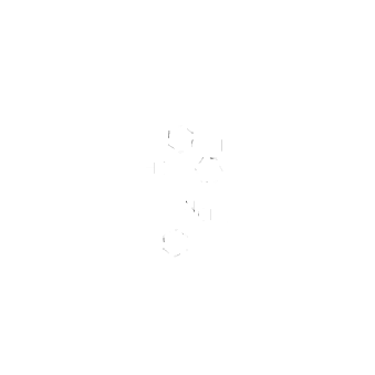 CN(CCC(O)(c1cccc(F)c1)c1cccc(F)c1)Cc1ccccc1